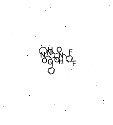 O=C(NCc1ccc(F)cc1F)c1cn2c(c(OCc3ccccc3)c1=O)C(=O)N1CCCC[C@@H]2C1